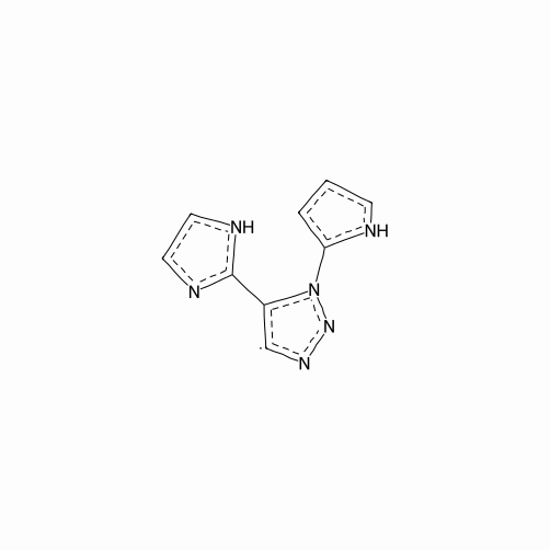 [c]1nnn(-c2ccc[nH]2)c1-c1ncc[nH]1